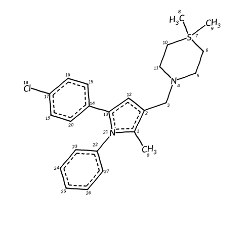 Cc1c(CN2CCS(C)(C)CC2)cc(-c2ccc(Cl)cc2)n1-c1ccccc1